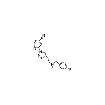 CN(CCc1cnn(-c2cc(C#N)ccn2)c1)Cc1ccc(F)cc1